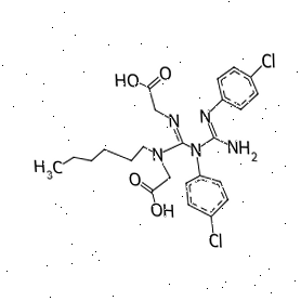 CCCCCCN(CC(=O)O)C(=NCC(=O)O)N(C(N)=Nc1ccc(Cl)cc1)c1ccc(Cl)cc1